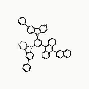 C1=NCCc2c1c1cc(-c3ccccc3)ccc1n2-c1cc(-c2c3ccccc3c(-c3ccc4ccccc4c3)c3ccccc23)cc(-n2c3ccncc3c3cc(-c4ccccc4)ccc32)c1